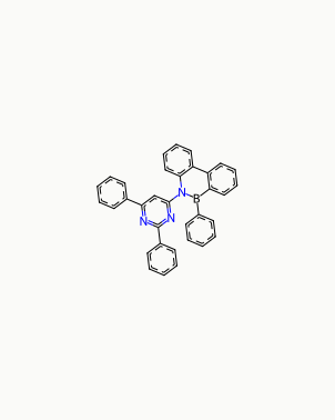 c1ccc(B2c3ccccc3-c3ccccc3N2c2cc(-c3ccccc3)nc(-c3ccccc3)n2)cc1